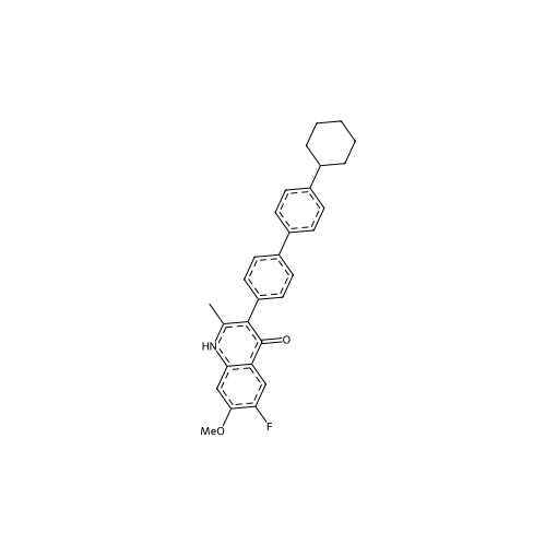 COc1cc2[nH]c(C)c(-c3ccc(-c4ccc(C5CCCCC5)cc4)cc3)c(=O)c2cc1F